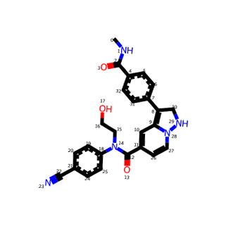 CNC(=O)c1ccc(C2=C3C=C(C(=O)N(CCO)c4ccc(C#N)cc4)C=CN3NC2)cc1